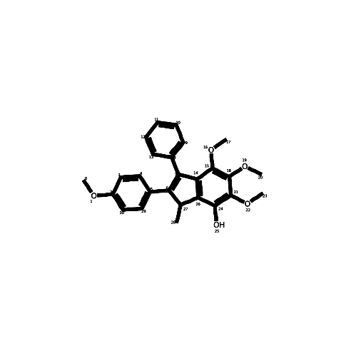 COc1ccc(C2=C(c3ccccc3)c3c(OC)c(OC)c(OC)c(O)c3C2C)cc1